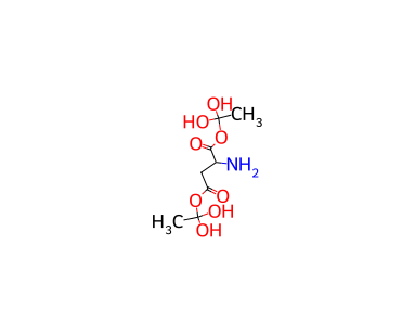 CC(O)(O)OC(=O)CC(N)C(=O)OC(C)(O)O